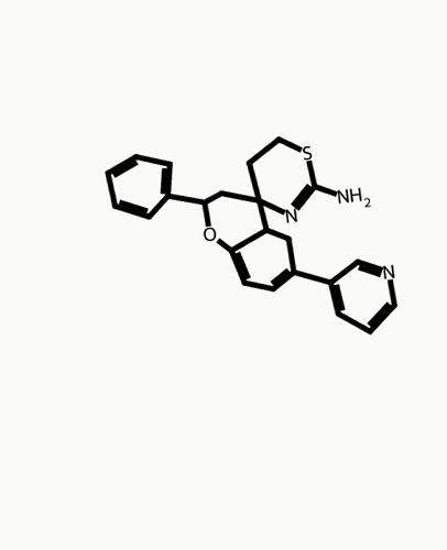 NC1=NC2(CCS1)CC(c1ccccc1)OC1=CC=C(c3cccnc3)CC12